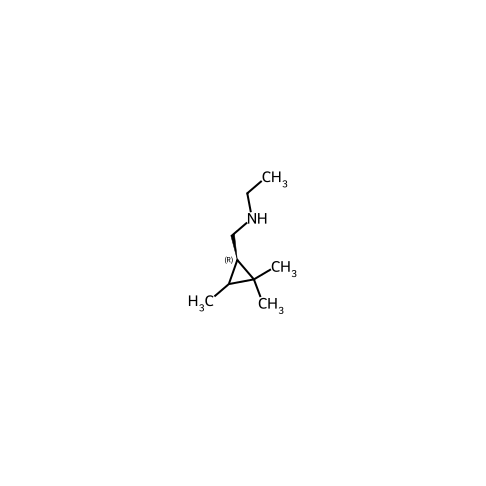 CCNC[C@@H]1C(C)C1(C)C